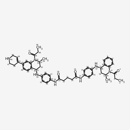 CCC(=O)N1c2ccccc2[C@H](Nc2ccc(NC(=O)CCCC(=O)Nc3ccc(N[C@@H]4C[C@H](C)N(C(=O)CC)c5cc(C6=CCNCC6)ccc54)cc3)cc2)C[C@@H]1C